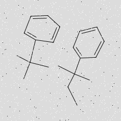 CC(C)(C)c1ccccc1.CCC(C)(C)c1ccccc1